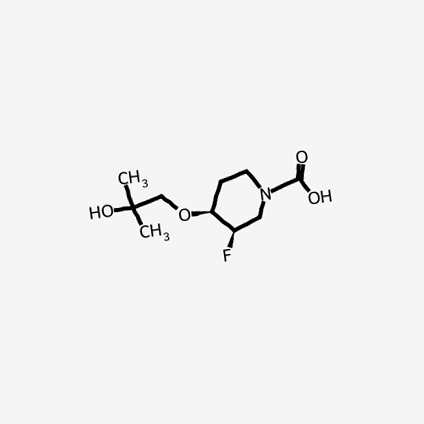 CC(C)(O)CO[C@H]1CCN(C(=O)O)C[C@H]1F